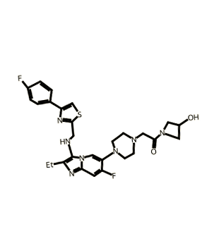 CCc1nc2cc(F)c(N3CCN(CC(=O)N4CC(O)C4)CC3)cn2c1NCc1nc(-c2ccc(F)cc2)cs1